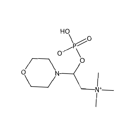 C[N+](C)(C)CC(OP(=O)([O-])O)N1CCOCC1